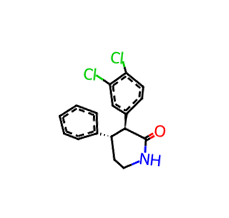 O=C1NCC[C@H](c2ccccc2)[C@H]1c1ccc(Cl)c(Cl)c1